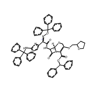 O=C(OC(c1ccccc1)c1ccccc1)C1=C(SCC2CCCO2)CS[C@H]2C(NC(=O)/C(=N\OC(c3ccccc3)(c3ccccc3)c3ccccc3)c3csc(NC(c4ccccc4)(c4ccccc4)c4ccccc4)n3)C(=O)N12